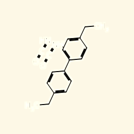 CCc1ccc(-c2ccc(CC)cc2)cc1.N=C=O.N=C=O